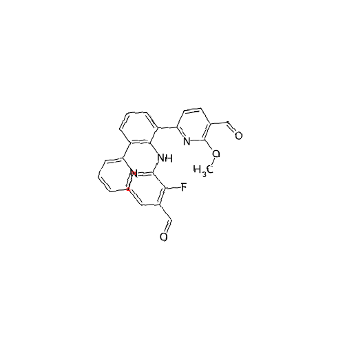 COc1nc(-c2cccc(-c3ccccc3)c2Nc2nccc(C=O)c2F)ccc1C=O